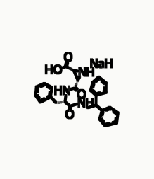 O=C(NCC(c1ccccc1)c1ccccc1)[C@H](Cc1ccccc1)NC(=O)[C@H]1N[C@@H]1C(=O)O.[NaH]